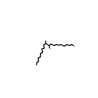 [CH2]C(CCCCCCCCCC)C([CH2])CCCCCCCCCC